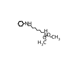 CCO[SiH](CCCCCCCCNc1ccccc1)OCC